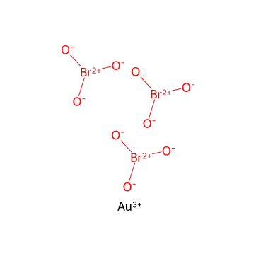 [Au+3].[O-][Br+2]([O-])[O-].[O-][Br+2]([O-])[O-].[O-][Br+2]([O-])[O-]